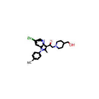 Cc1c(C(=O)CN2CCC(CO)CC2)c2ncc(Br)cc2n1-c1ccc(C#N)cc1